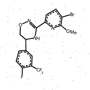 COc1nc(C2=NOCC(c3ccc(F)c(C(F)(F)F)c3)N2)ccc1Br